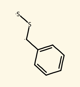 [S]S[CH]c1ccccc1